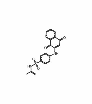 C=C(C)NS(=O)(=O)c1ccc(NC2=CC(=O)c3ccccc3C2=O)cc1